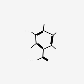 COC(=O)c1c(F)c(O)c(F)c(F)c1F